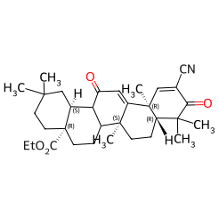 CCOC(=O)[C@@]12CCC3C(C(=O)C=C4[C@@]3(C)CC[C@H]3C(C)(C)C(=O)C(C#N)=C[C@]43C)[C@@H]1CC(C)(C)CC2